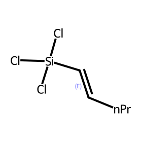 CCC/C=C/[Si](Cl)(Cl)Cl